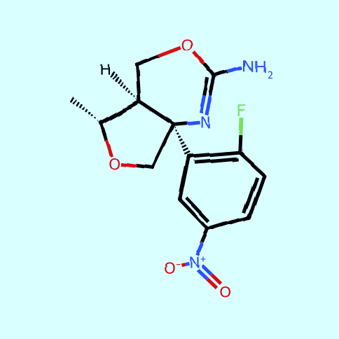 C[C@H]1OC[C@]2(c3cc([N+](=O)[O-])ccc3F)N=C(N)OC[C@H]12